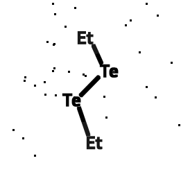 CC[Te][Te]CC